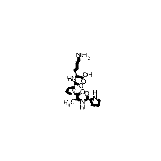 C[C@H](NC(=O)[C@@H]1CCCN1)C(=O)N1CCC[C@H]1C(=O)N[C@@H](CCCCN)C(=O)O